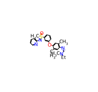 CCN(C)/C=N\c1cc(C)c(Oc2cccc(S(C)(=O)=Nc3ccccn3)c2)cc1C